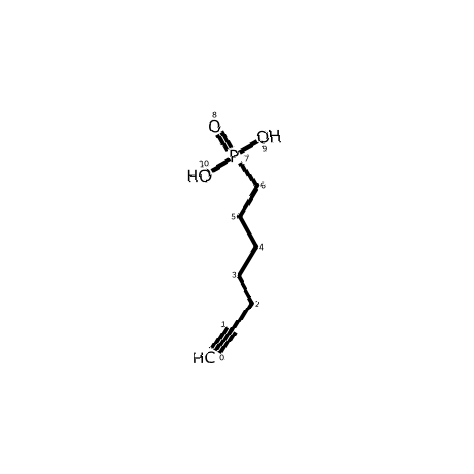 C#CCCCCCP(=O)(O)O